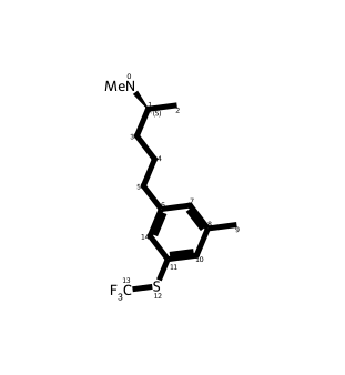 CN[C@@H](C)CCCc1cc(C)cc(SC(F)(F)F)c1